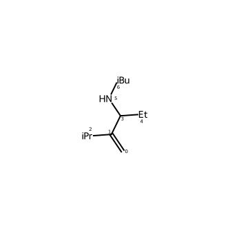 C=C(C(C)C)C(CC)NC(C)CC